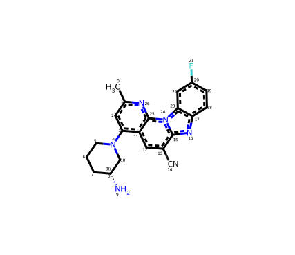 Cc1cc(N2CCC[C@@H](N)C2)c2cc(C#N)c3nc4ccc(F)cc4n3c2n1